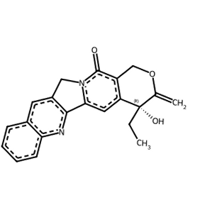 C=C1OCc2c(cc3n(c2=O)Cc2cc4ccccc4nc2-3)[C@]1(O)CC